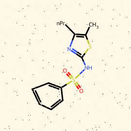 CCCc1nc(NS(=O)(=O)c2ccccc2)sc1C